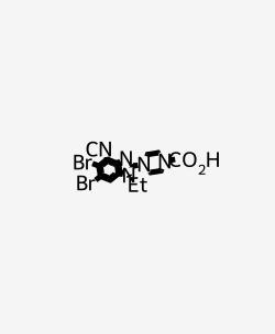 CCn1c(N2CCN(C(=O)O)CC2)nc2c(C#N)c(Br)c(Br)cc21